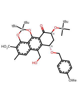 COc1ccc(CO[C@H]2C[C@H](O[Si](C)(C)C(C)(C)C)C(=O)c3c2c(CO)c2cc(C)c(C(=O)O)c4c2c3O[Si](C(C)(C)C)(C(C)(C)C)O4)cc1